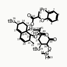 CC(Oc1ccccc1C(C)C)C(=O)O[C@H]1C[C@H](C(C)(C)C)C=C2C=C[C@H](C)[C@](CC[C@@H]3C[C@H](C(C)(C)C)C(O[SiH](C)C)C(=O)O3)(O[SiH](C)C)[C@H]21